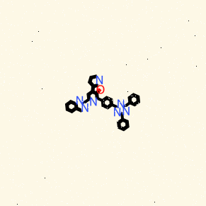 c1ccc(-c2nc(-c3ccccc3)nc(-c3ccc(-c4nc(-c5ncc6ccccc6n5)cc5c4oc4ncccc45)cc3)n2)cc1